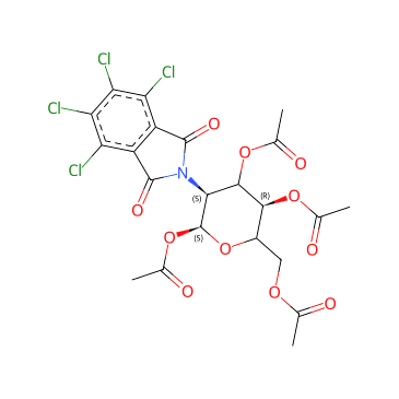 CC(=O)OCC1O[C@@H](OC(C)=O)[C@@H](N2C(=O)c3c(Cl)c(Cl)c(Cl)c(Cl)c3C2=O)C(OC(C)=O)[C@H]1OC(C)=O